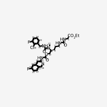 CCOC(=O)CNC(=O)NCCC[C@@H](COC(=O)Nc1cc2cc(F)ccc2cn1)N(C)C(=O)NCc1cccc(F)c1Cl